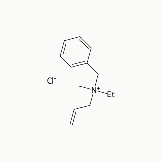 C=CC[N+](C)(CC)Cc1ccccc1.[Cl-]